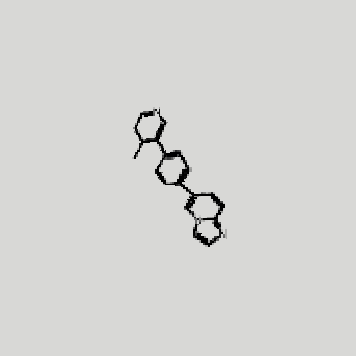 CC1CC=NC=C1c1ccc(-c2ccc3nccn3c2)cc1